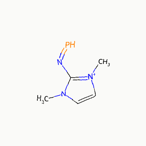 Cn1cc[n+](C)c1N=P